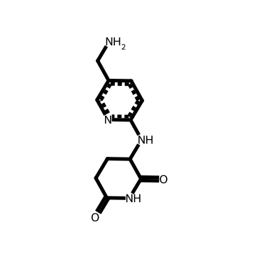 NCc1ccc(NC2CCC(=O)NC2=O)nc1